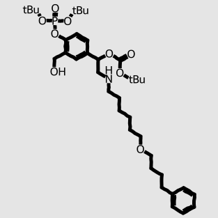 CC(C)(C)OC(=O)OC(CNCCCCCCOCCCCc1ccccc1)c1ccc(OP(=O)(OC(C)(C)C)OC(C)(C)C)c(CO)c1